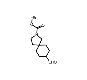 CC(C)(C)OC(=O)N1CCC2(CCC(C=O)CC2)C1